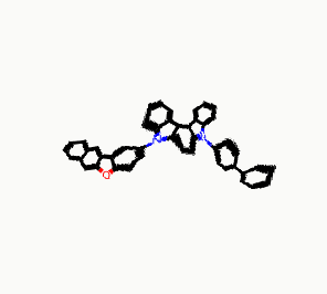 c1ccc(-c2ccc(-n3c4ccccc4c4c5c6ccccc6n(-c6ccc7oc8cc9ccccc9cc8c7c6)c5ccc43)cc2)cc1